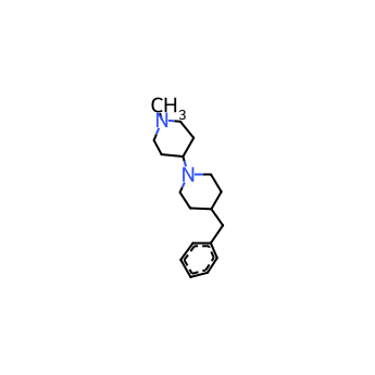 CN1CCC(N2CCC(Cc3ccccc3)CC2)CC1